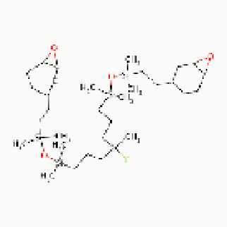 CC(F)(CCC[Si](C)(C)O[Si](C)(C)CCC1CCC2OC2C1)CCC[Si](C)(C)O[Si](C)(C)CCC1CCC2OC2C1